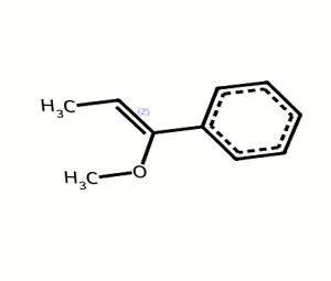 C/C=C(\OC)c1ccccc1